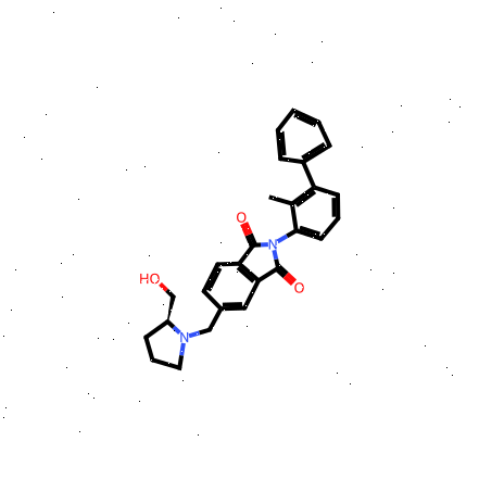 Cc1c(-c2ccccc2)cccc1N1C(=O)c2ccc(CN3CCC[C@H]3CO)cc2C1=O